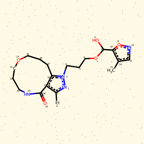 CCc1nn(CCCOC(O)c2oncc2C)c2c1C(=O)NCCCOCCC2